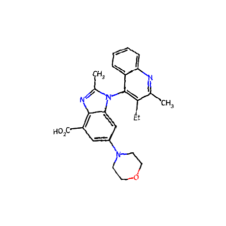 CCc1c(C)nc2ccccc2c1-n1c(C)nc2c(C(=O)O)cc(N3CCOCC3)cc21